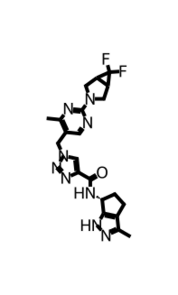 Cc1nc(N2CC3C(C2)C3(F)F)ncc1Cn1cc(C(=O)N[C@@H]2CCc3c(C)n[nH]c32)nn1